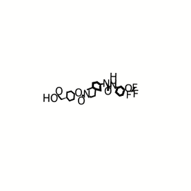 O=C(O)C[C@H]1CC[C@H](OC(=O)N2CCc3cc(NC(=O)Nc4cccc(OC(F)(F)F)c4)ccc3C2)CC1